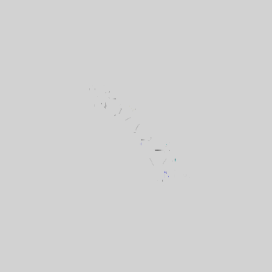 [C-]#[N+]/C(=C\c1cc2sc(/C=C/c3ccc(N(CCCC)CCCC)c(F)c3F)cc2s1)C(=O)O